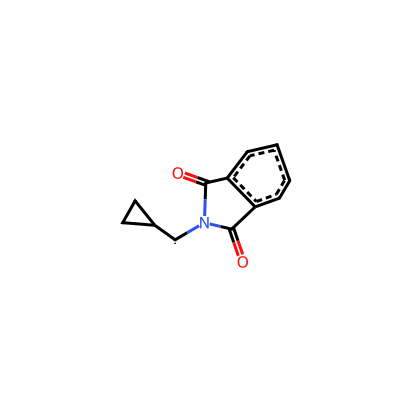 O=C1c2ccccc2C(=O)N1[CH]C1CC1